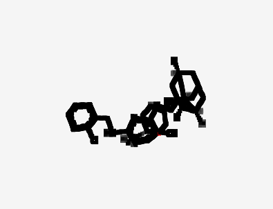 N#Cc1cnc(NCc2ccccc2Cl)nc1NCC12CC3C[C@H](C1)[C@H](N[C@H]1CC[C@@H](N)CC1)[C@@H](C3)C2